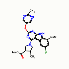 CNc1cc(F)cc2c1[nH]c1nc(Oc3cnc(C)nc3)nc(N3CC(C)C(C(=O)OC)C3)c12